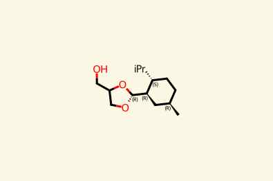 CC(C)[C@@H]1CC[C@@H](C)C[C@H]1[C@@H]1OCC(CO)O1